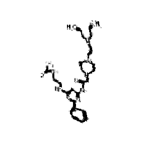 C=CCN(CC=C)CCN1CCN(CC(=O)Nc2cc(NCCNC(C)=O)nc(-c3ccccc3)n2)CC1